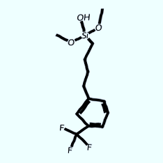 CO[Si](O)(CCCCc1cccc(C(F)(F)F)c1)OC